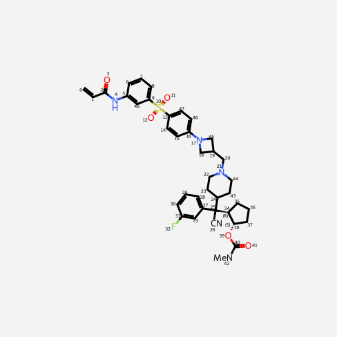 C=CC(=O)Nc1cccc(S(=O)(=O)c2ccc(N3CC(CN4CCC(C(C#N)(c5cccc(F)c5)[C@H]5CCC[C@@H]5OC(=O)NC)CC4)C3)cc2)c1